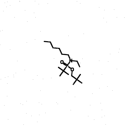 CCCCCCN(CC)P(=O)(OCC(C)(C)C)C(C)(C)C